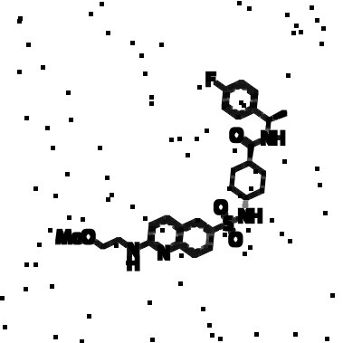 COCCNc1ccc2cc(S(=O)(=O)N[C@H]3CC[C@H](C(=O)N[C@H](C)c4ccc(F)cc4)CC3)ccc2n1